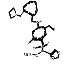 C=Cc1cc(S(=O)(=O)N(OC=O)c2cscn2)c(F)cc1NCc1ccccc1CN1CCC1